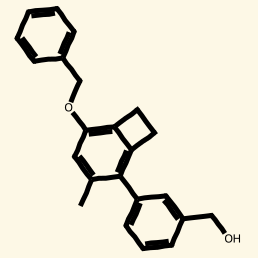 Cc1cc(OCc2ccccc2)c2c(c1-c1cccc(CO)c1)CC2